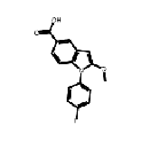 COc1cc2cc(C(=O)O)ccc2n1-c1ccc(F)cc1